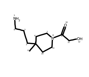 CC1(CCCN)CCN(C(=O)CO)CC1